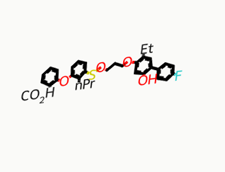 CCCc1c(Oc2ccccc2C(=O)O)cccc1SOCCCOc1cc(O)c(-c2ccc(F)cc2)cc1CC